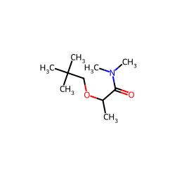 CC(OCC(C)(C)C)C(=O)N(C)C